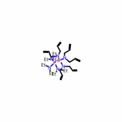 C=CCN(CC=C)[PH](N(CC=C)CC=C)(N(CC=C)CC=C)[PH](N(CC)CC)(N(CC)CC)N(CC)CC